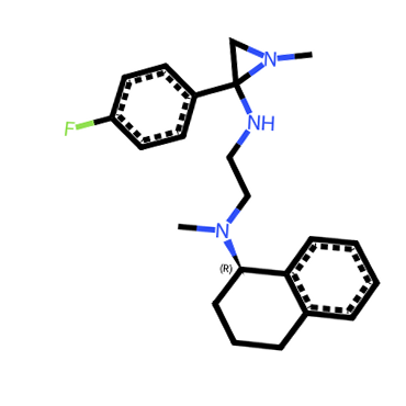 CN(CCNC1(c2ccc(F)cc2)CN1C)[C@@H]1CCCc2ccccc21